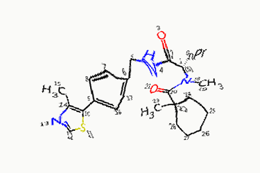 CCC[C@@H](C(=O)NCc1ccc(-c2scnc2C)cc1)N(C)C(=O)C1(C)CCCCC1